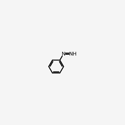 N=Nc1ccccc1